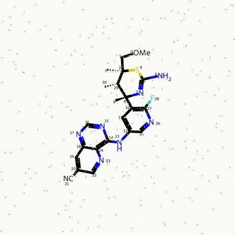 COC[C@@]1(C)SC(N)=N[C@](C)(c2cc(Nc3ncnc4cc(C#N)cnc34)cnc2F)[C@@H]1C